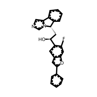 O[C@@H](C[C@H]1c2ccccc2-c2cncn21)c1cc2cc(-c3ccccc3)oc2cc1F